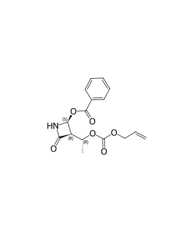 C=CCOC(=O)O[C@H](C)[C@H]1C(=O)N[C@H]1OC(=O)c1ccccc1